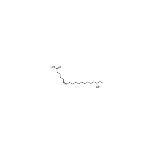 CCC(O)CCCCCCCCC/C=C\CCCCC(=O)O